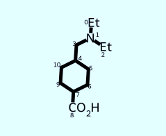 CCN(CC)CC1CCC(C(=O)O)CC1